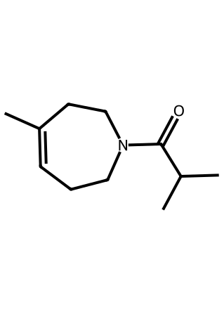 CC1=CCCN(C(=O)C(C)C)CC1